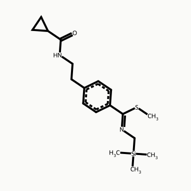 CSC(=NC[Si](C)(C)C)c1ccc(CCNC(=O)C2CC2)cc1